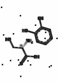 N[C@@H](CO)C(=O)O.Oc1ccccc1O